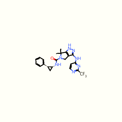 CC1(C)c2[nH]nc(Nc3ccnc(C(F)(F)F)n3)c2CN1C(=O)N[C@@H]1C[C@H]1c1ccccc1